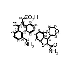 NC(=O)C1SC2C=CC=C3C2C1C1COCCN31.NCc1cccc(C(=O)N(CC(=O)O)c2ccccc2)c1